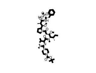 CC[C@H](C)[C@@H]([C@@H](CC(=O)N1CCCC1[C@H](OC)[C@@H](C)C(=O)N[C@@H](Cc1ccccc1)P(=O)(O)O)OC)N(C)C(=O)C(N=C(N(C)C)N1CCN(C(=O)OC(C)(C)C)CC1)C(C)C